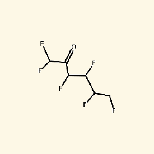 O=C(C(F)F)C(F)C(F)C(F)CF